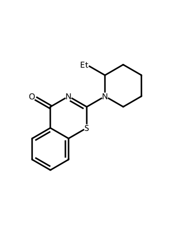 CCC1CCCCN1c1nc(=O)c2ccccc2s1